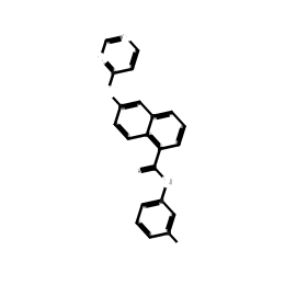 O=C(Nc1cccc(Cl)c1)c1cccc2cc(Oc3ccncn3)ccc12